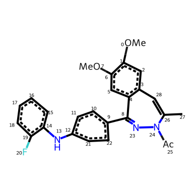 COc1cc2c(cc1OC)C(c1ccc(Nc3ccccc3F)cc1)=NN(C(C)=O)C(C)=C2